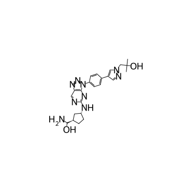 CC(C)(O)Cn1cc(-c2ccc(-n3nnc4cnc(N[C@@H]5CC[C@@H](C(N)O)C5)nc43)cc2)cn1